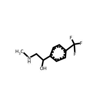 CNCC(O)c1ccc(C(F)(F)F)cc1